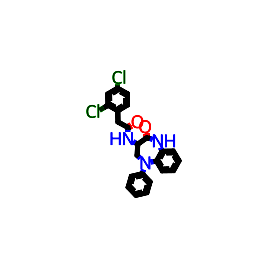 O=C(Cc1ccc(Cl)cc1Cl)NC1CN(c2ccccc2)c2ccccc2NC1=O